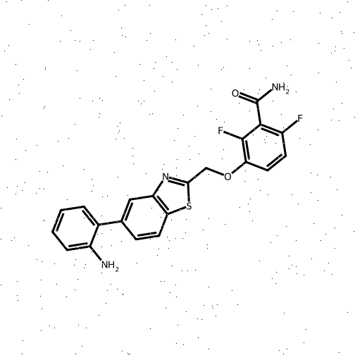 NC(=O)c1c(F)ccc(OCc2nc3cc(-c4ccccc4N)ccc3s2)c1F